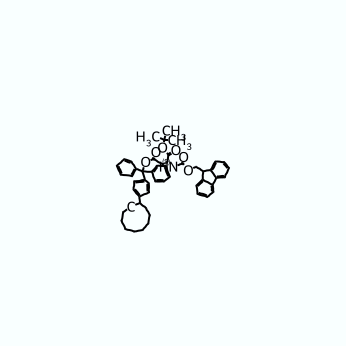 CC(C)(C)OC(=O)[C@H](CC(=O)OC(c1ccccc1)(c1ccccc1)c1ccc(C2CCCCCCCCC2)cc1)NC(=O)OCC1c2ccccc2-c2ccccc21